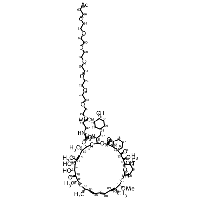 CO[C@H]1C[C@@H]2CC[C@@H](C)[C@@](O)(O2)C(=O)C(=O)N2CCCC[C@H]2C(=O)O[C@H]([C@H](N)C[C@@H]2CC[C@@H](O)[C@H](OC)C2)C[C@@H](OC(=O)NCCOCCOCCOCCOCCOCCOCCOCCOCCC(C)=O)[C@H](C)/C=C(\C)[C@@H](O)[C@@H](O)C(=O)[C@H](C)C[C@H](C)/C=C/C=C/C=C/1C